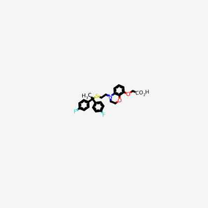 CC(SCCN1CCOc2c(OCC(=O)O)cccc21)(c1ccc(F)cc1)c1ccc(F)cc1